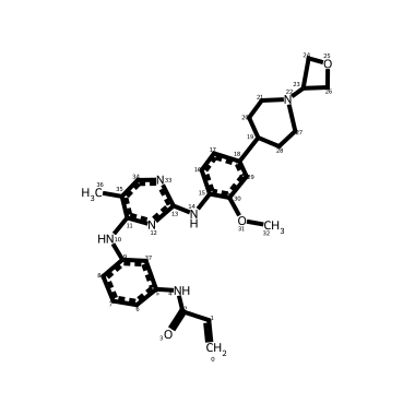 C=CC(=O)Nc1cccc(Nc2nc(Nc3ccc(C4CCN(C5COC5)CC4)cc3OC)ncc2C)c1